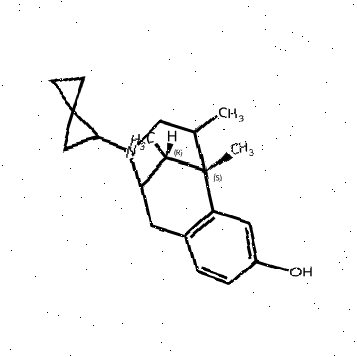 CC1CN(C2CC23CC3)C2Cc3ccc(O)cc3[C@]1(C)[C@H]2C